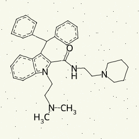 CN(C)CCn1c(C(=O)NCCN2CCCCC2)c(C(c2ccccc2)c2ccccc2)c2ccccc21